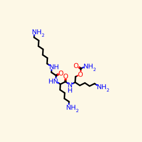 NCCCCCCCNCC(=O)NC(CCCCN)C(=O)NC(CCCCN)COC(N)=O